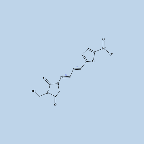 O=C1CN(/N=C/C=C/c2ccc([N+](=O)[O-])o2)C(=O)N1CO